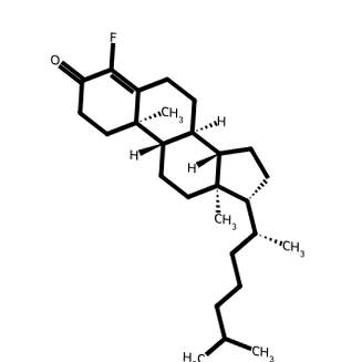 CC(C)CCC[C@@H](C)[C@H]1CC[C@H]2[C@@H]3CCC4=C(F)C(=O)CC[C@]4(C)[C@H]3CC[C@]12C